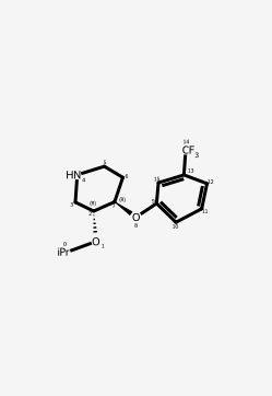 CC(C)O[C@@H]1CNCC[C@H]1Oc1cccc(C(F)(F)F)c1